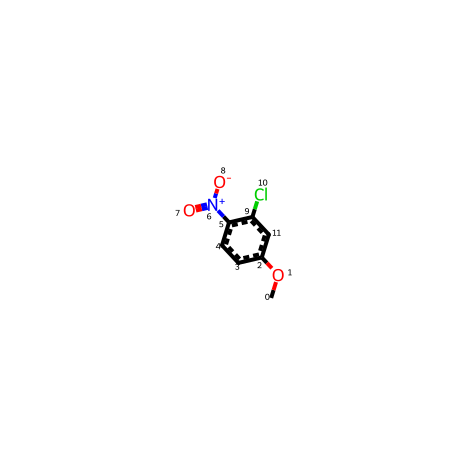 COc1ccc([N+](=O)[O-])c(Cl)c1